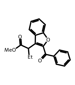 CCC(C(=O)OC)c1c(C(=O)c2ccccc2)oc2ccccc12